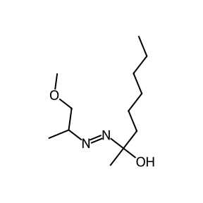 CCCCCCC(C)(O)N=NC(C)COC